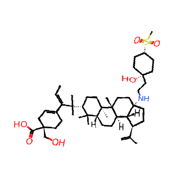 C=C(C)[C@@H]1CC[C@]2(NCC[C@]3(O)CC[C@@H](S(C)(=O)=O)CC3)CC[C@]3(C)[C@H](CC[C@@H]4C(C)(C)[C@H](C(C)(C)/C(=C\C)C5=CC[C@@](CO)(C(=O)O)CC5)CC[C@]43C)[C@@H]12